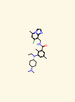 CCN(c1cc(C)cc(C(=O)NCc2c(F)cc(C)n3ccnc23)c1C)[C@H]1CC[C@H](N(C)C)CC1